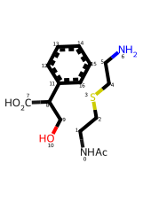 CC(=O)NCCSCCN.O=C(O)C(CO)c1ccccc1